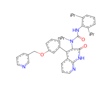 CCCN(C(=O)Nc1c(C(C)C)cccc1C(C)C)c1c(-c2cccc(OCc3cccnc3)c2)c2cccnc2[nH]c1=O